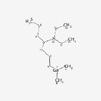 CCCC(CC[CH2][Ga]([CH3])[CH3])N(CC)CC